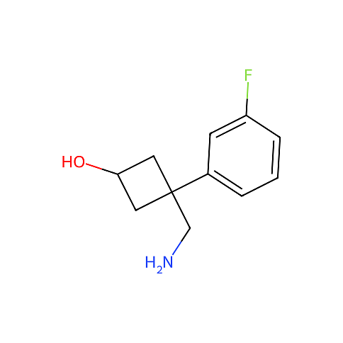 NCC1(c2cccc(F)c2)CC(O)C1